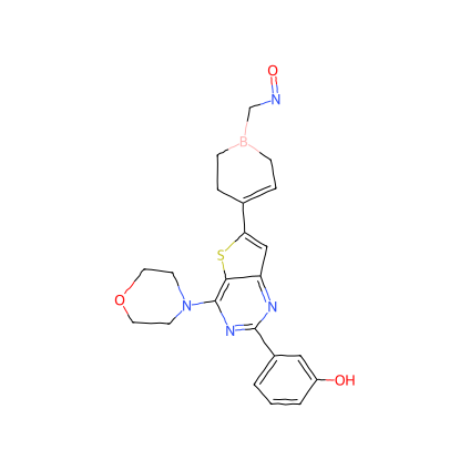 O=NCB1CC=C(c2cc3nc(-c4cccc(O)c4)nc(N4CCOCC4)c3s2)CC1